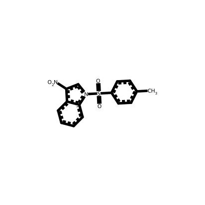 Cc1ccc(S(=O)(=O)n2cc([N+](=O)[O-])c3ccccc32)cc1